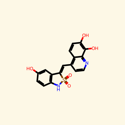 O=S1(=O)Nc2ccc(O)cc2C1=Cc1ccnc2c(O)c(O)ccc12